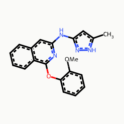 COc1ccccc1Oc1nc(Nc2cc(C)[nH]n2)cc2ccccc12